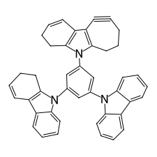 C1#Cc2c3c(n(-c4cc(-n5c6c(c7ccccc75)C=CCC6)cc(-n5c6ccccc6c6ccccc65)c4)c2CCC1)CCC=C3